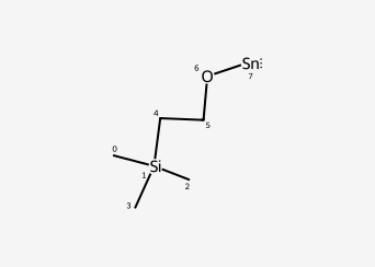 C[Si](C)(C)CC[O][Sn]